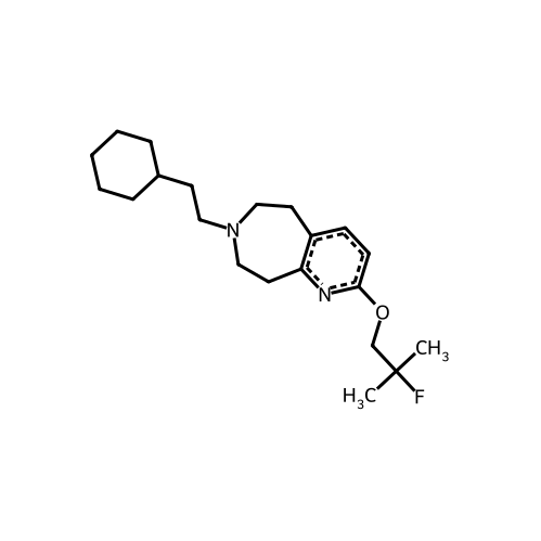 CC(C)(F)COc1ccc2c(n1)CCN(CCC1CCCCC1)CC2